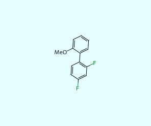 COc1ccccc1-c1ccc(F)cc1F